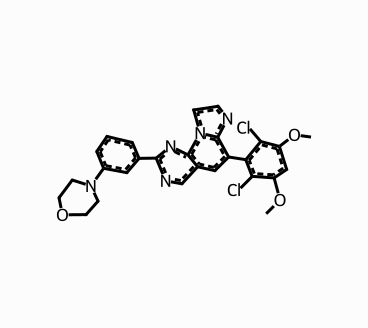 COc1cc(OC)c(Cl)c(-c2cc3cnc(-c4cccc(N5CCOCC5)c4)nc3n3ccnc23)c1Cl